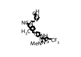 CNc1nc(NC2CCN(Cc3ccc4c(cc(C#N)n4CCN4CCNC(=O)C4)c3C)CC2)c2cc(CC(F)(F)F)sc2n1